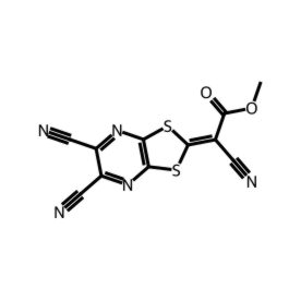 COC(=O)C(C#N)=C1Sc2nc(C#N)c(C#N)nc2S1